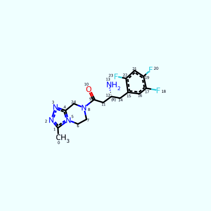 Cc1nnc2n1CCN(C(=O)C[C@H](N)Cc1cc(F)c(F)cc1F)C2